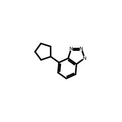 c1cc2c(c(C3CCCC3)c1)N=N[N]2